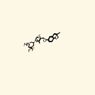 CC1=C(COc2ccc3oc(C)cc3c2)SCN1C1CNCC(F)(F)C1